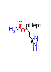 CCCCCCCC(CCc1c[nH]cn1)OC(N)=O